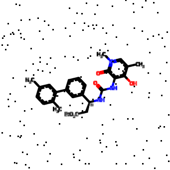 CCOC(=O)C[C@H](NC(=O)Nc1c(O)c(C)cn(C)c1=O)c1cccc(-c2cc(C)ccc2C)c1